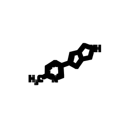 Cc1ccc(C2=CC3CNCC3C2)cn1